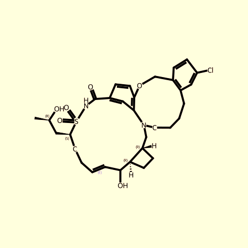 C[C@@H](O)C[C@@H]1CC/C=C/C(O)[C@@H]2CC[C@H]2CN2CCCCc3cc(Cl)ccc3COc3ccc(cc32)C(=O)NS1(=O)=O